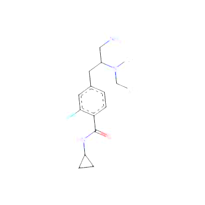 CN(CC(F)(F)F)C(CN)Cc1ccc(C(=O)NC2CC2)c(F)c1